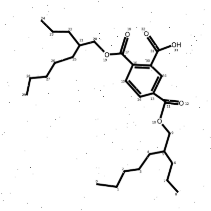 CCCCCC(CCC)COC(=O)c1ccc(C(=O)OCC(CCC)CCCCC)c(C(=O)O)c1